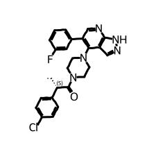 [CH2][C@H](C(=O)N1CCN(c2c(-c3cccc(F)c3)cnc3[nH]ncc23)CC1)c1ccc(Cl)cc1